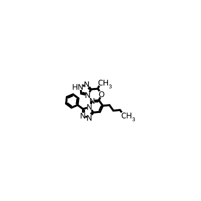 CCCCc1cc2nnc(-c3ccccc3)n2nc1OC(C)c1nc[nH]n1